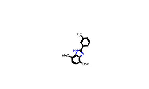 COc1ccc(OC)c2[nH]c(-c3cccc(C(F)(F)F)c3)nc12